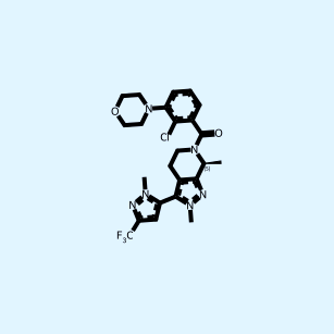 C[C@H]1c2nn(C)c(-c3cc(C(F)(F)F)nn3C)c2CCN1C(=O)c1cccc(N2CCOCC2)c1Cl